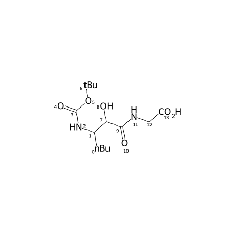 CCCCC(NC(=O)OC(C)(C)C)C(O)C(=O)NCC(=O)O